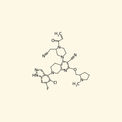 C=CC(=O)N1CCN(c2c(C#N)c(OCC3CCCN3C)nc3c2CCN(c2c(Cl)c(F)cc4[nH]ncc24)C3)CC1CC#N